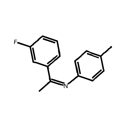 CC(=Nc1ccc(C)cc1)c1cccc(F)c1